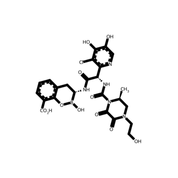 C[C@H]1CN(CCO)C(=O)C(=O)N1C(=O)N[C@H](C(=O)N[C@H]1Cc2cccc(C(=O)O)c2OB1O)c1ncc(O)c(O)c1Cl